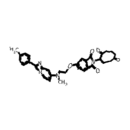 Cc1ccc(-c2cn3ccc(N(C)CCOc4ccc5c(c4)C(=O)N(C4CCC(=O)CCCC4=O)C5=O)cc3n2)cc1